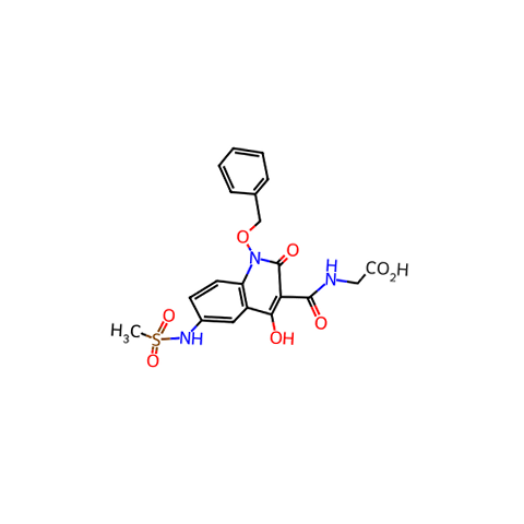 CS(=O)(=O)Nc1ccc2c(c1)c(O)c(C(=O)NCC(=O)O)c(=O)n2OCc1ccccc1